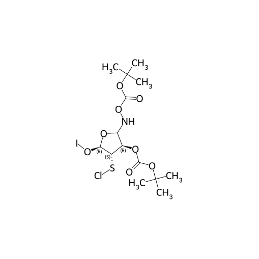 CC(C)(C)OC(=O)ONC1O[C@H](OI)[C@@H](SCl)[C@@H]1OC(=O)OC(C)(C)C